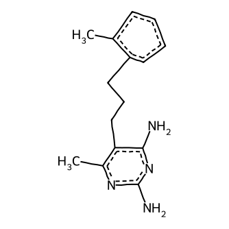 Cc1ccccc1CCCc1c(C)nc(N)nc1N